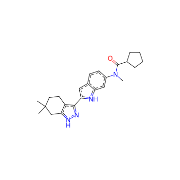 CN(C(=O)C1CCCC1)c1ccc2cc(-c3n[nH]c4c3CCC(C)(C)C4)[nH]c2c1